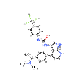 CC(c1ccc(-c2ccnc3[nH]cc(NC(=O)Nc4ccc(C(F)(F)F)cc4)c23)cc1)N(C)C